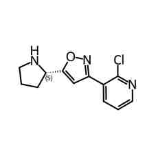 Clc1ncccc1-c1cc([C@@H]2CCCN2)on1